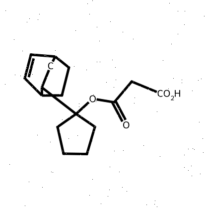 O=C(O)CC(=O)OC1(C2CC3C=CC2CC3)CCCC1